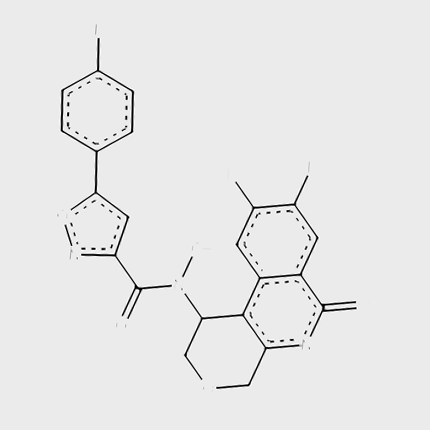 CN(C(=O)c1cc(-c2ccc(F)cc2)on1)C1COCc2[nH]c(=O)c3cc(F)c(F)cc3c21